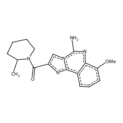 COc1cccc2c1nc(N)n1cc(C(=O)N3CCCCC3C)nc21